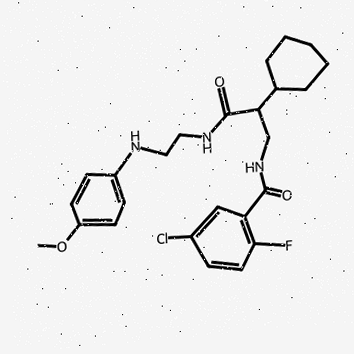 COc1ccc(NCCNC(=O)C(CNC(=O)c2cc(Cl)ccc2F)C2CCCCC2)cc1